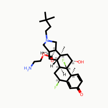 CC(C)(C)CCN1C[C@@H]2C[C@H]3[C@@H]4C[C@H](F)C5=CC(=O)C=C[C@]5(C)[C@@]4(F)[C@@H](O)C[C@]3(C)[C@]2(C(=O)OCCN)C1